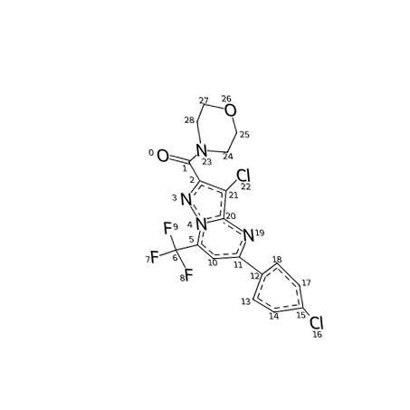 O=C(c1nn2c(C(F)(F)F)cc(-c3ccc(Cl)cc3)nc2c1Cl)N1CCOCC1